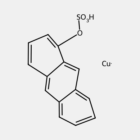 O=S(=O)(O)Oc1cccc2cc3ccccc3cc12.[Cu]